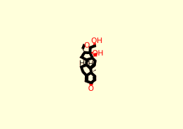 CC[C@H]1C[C@H]2[C@@H]3CCC4=CC(=O)C=C[C@]4(C)C3=CC[C@]2(C)[C@@]1(O)C(=O)CO